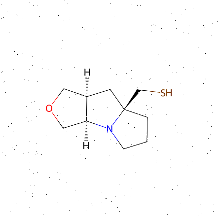 SC[C@@]12CCCN1[C@H]1COC[C@H]1C2